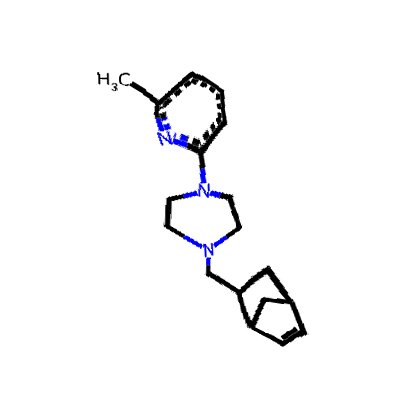 Cc1cccc(N2CCN(CC3CC4C=CC3C4)CC2)n1